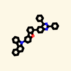 c1ccc(-c2nc(-c3ccccc3)c3cc(-c4cccc5c4oc4ccc(-n6c7ccccc7c7c8ccccc8ccc76)cc45)ccc3n2)cc1